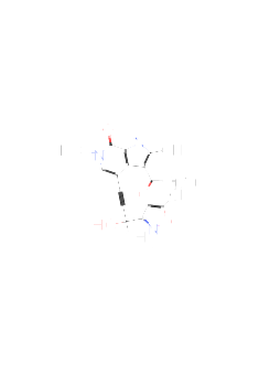 Cc1cc(C(C)(O)C#Cc2cn(C)c(=O)c3[nH]c(C)c(C(=O)OCC(C)C)c23)no1